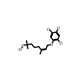 CCOC(C)(C)CCCC(C)=CCOc1cc(Cl)c(Cl)cc1Cl